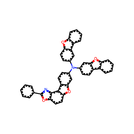 c1ccc(-c2nc3c(ccc4oc5cc(N(c6ccc7c(c6)oc6ccccc67)c6ccc7oc8ccccc8c7c6)ccc5c43)o2)cc1